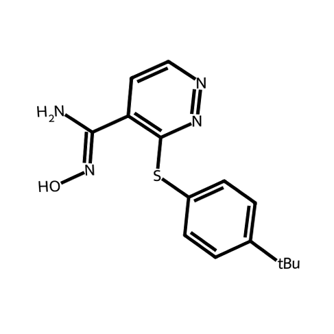 CC(C)(C)c1ccc(Sc2nnccc2C(N)=NO)cc1